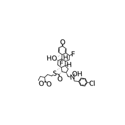 C[C@]12C[C@H](O)[C@@]3(F)[C@@H](C[C@H](F)C4=CC(=O)C=C[C@@]43C)[C@@H]1C[C@@H](CN(O)Cc1ccc(Cl)cc1)[C@@H]2C(=O)SCCC1CCOC1=O